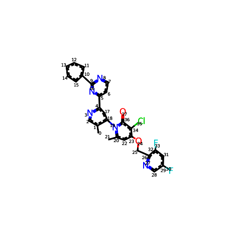 Cc1cnc(-c2ccnc(-c3ccccc3)n2)cc1-n1c(C)cc(OCc2ncc(F)cc2F)c(Cl)c1=O